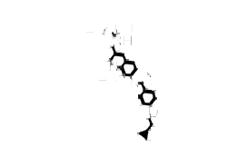 Cc1c(NC(=O)c2ccc(OCCC3CC3)cc2F)ccc2cc(CNC(C)C)cnc12